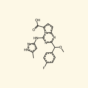 COC(c1ccc(F)cc1)c1nc(Nc2cc(C)[nH]n2)n2c(C(=O)O)ccc2n1